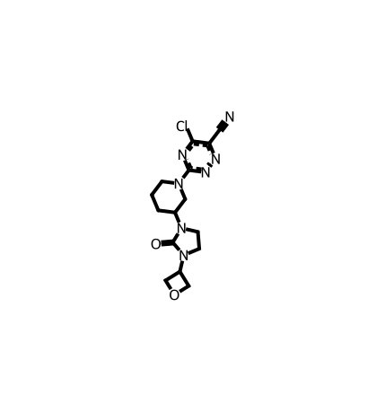 N#Cc1nnc(N2CCCC(N3CCN(C4COC4)C3=O)C2)nc1Cl